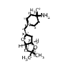 CC1(N)CCN(C[C@H]2C[C@H]3OC(C)(C)O[C@H]3O2)CC1